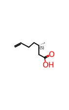 C=CCC[C@H](C)CC(=O)O